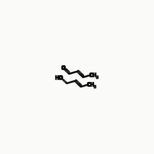 CC=CC=O.CC=CCO